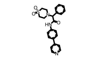 O=C(Nc1ccc(-c2ccncc2)cc1)C(c1ccccc1)N1CCS(=O)(=O)CC1